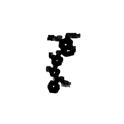 CCCO[C@@H](c1ccccc1)[C@H]1CC(=O)N(c2ccc(Oc3ccnc4cc(OC)c(OC)cc34)c(F)c2)C1